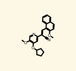 COc1cnc(/C(C#N)=C/c2c(OC)ccc3ccccc23)cc1OC1CCCC1